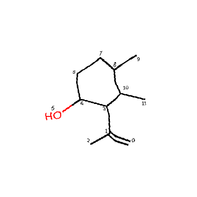 C=C(C)C1C(O)CCC(C)C1C